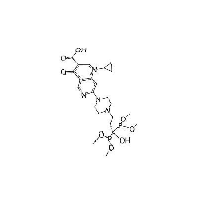 COP(OC)C(O)(CCN1CCN(c2cc3c(cn2)c(=O)c(C(=O)O)cn3C2CC2)CC1)P(OC)OC